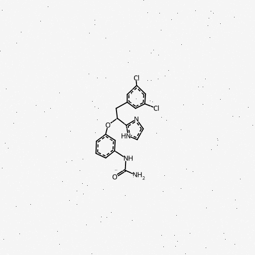 NC(=O)Nc1cccc(OC(Cc2cc(Cl)cc(Cl)c2)c2ncc[nH]2)c1